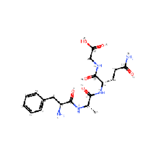 C[C@H](NC(=O)[C@@H](N)Cc1ccccc1)C(=O)N[C@@H](CCC(N)=O)C(=O)NCC(=O)O